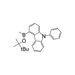 CB(OC(C)(C)C(C)(C)C)c1cccc2c1c1ccccc1n2-c1ccccc1